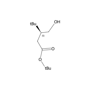 CC(C)(C)OC(=O)C[C@H](CO)C(C)(C)C